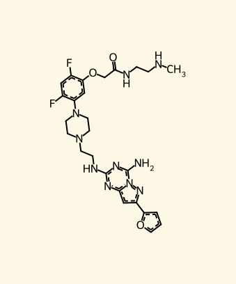 CNCCNC(=O)COc1cc(N2CCN(CCNc3nc(N)n4nc(-c5ccco5)cc4n3)CC2)c(F)cc1F